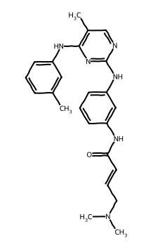 Cc1cccc(Nc2nc(Nc3cccc(NC(=O)/C=C/CN(C)C)c3)ncc2C)c1